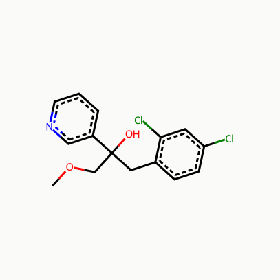 COCC(O)(Cc1ccc(Cl)cc1Cl)c1cccnc1